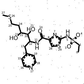 CCS(=O)(=O)Nc1nc(C(=O)NC(Cc2ccncc2)C(O)C(O)CCSC)cs1